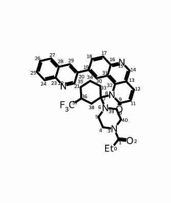 CCC(=O)N1CCN(C2(n3c(=O)ccc4cnc5ccc(-c6cnc7ccccc7c6)cc5c43)CCCC(C(F)(F)F)C2)CC1